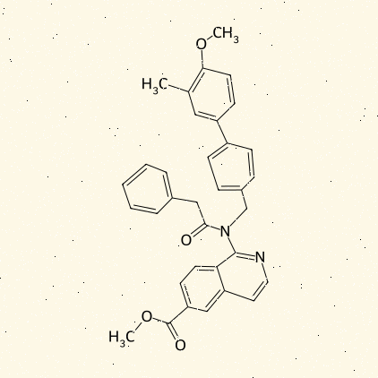 COC(=O)c1ccc2c(N(Cc3ccc(-c4ccc(OC)c(C)c4)cc3)C(=O)Cc3ccccc3)nccc2c1